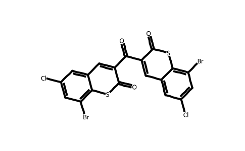 O=C(c1cc2cc(Cl)cc(Br)c2sc1=O)c1cc2cc(Cl)cc(Br)c2sc1=O